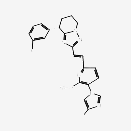 COc1nc(/C=C/c2nc3n(n2)CCC[C@H]3c2cccc(F)c2)ccc1-n1cnc(C)c1